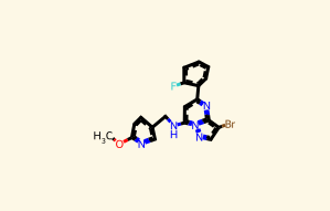 COc1ccc(CNc2cc(-c3ccccc3F)nc3c(Br)cnn23)cn1